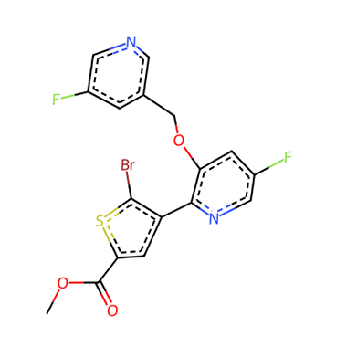 COC(=O)c1cc(-c2ncc(F)cc2OCc2cncc(F)c2)c(Br)s1